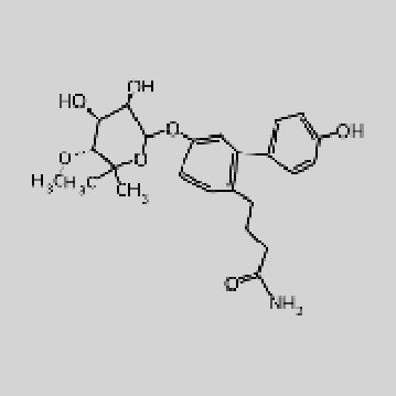 CO[C@@H]1[C@@H](O)[C@@H](O)C(Oc2ccc(CCCC(N)=O)c(-c3ccc(O)cc3)c2)OC1(C)C